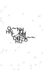 C/C=C/C=C/C(=O)N[C@H](C(=O)N[C@H]1C[C@@H](O)CCNC(=O)/C=C/[C@H](C)NC1=O)[C@@H](C)O